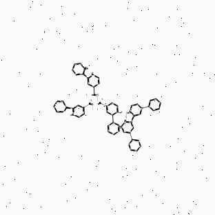 c1ccc(-c2ccc3c(c2)c2cc(-c4ccccc4)ccc2n3-c2ccc(-c3nc(-c4ccc5oc6ccccc6c5c4)nc(-c4ccc5oc6ccccc6c5c4)n3)cc2-c2ccccc2)cc1